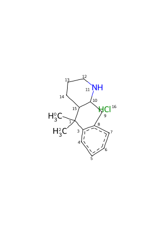 CC1(C)c2ccccc2CC2NCCCC21.Cl